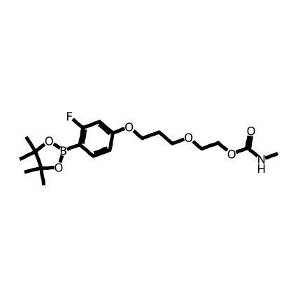 CNC(=O)OCCOCCCOc1ccc(B2OC(C)(C)C(C)(C)O2)c(F)c1